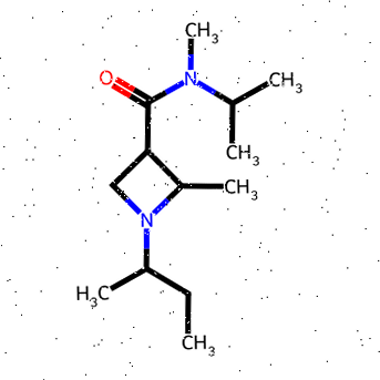 CCC(C)N1CC(C(=O)N(C)C(C)C)C1C